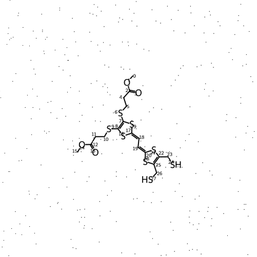 COC(=O)CCSC1=C(SCCC(=O)OC)SC(=CC=C2SC(CS)=C(CS)S2)S1